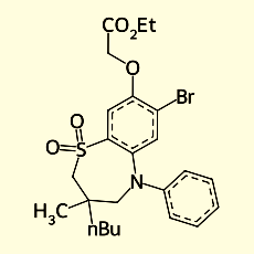 CCCCC1(C)CN(c2ccccc2)c2cc(Br)c(OCC(=O)OCC)cc2S(=O)(=O)C1